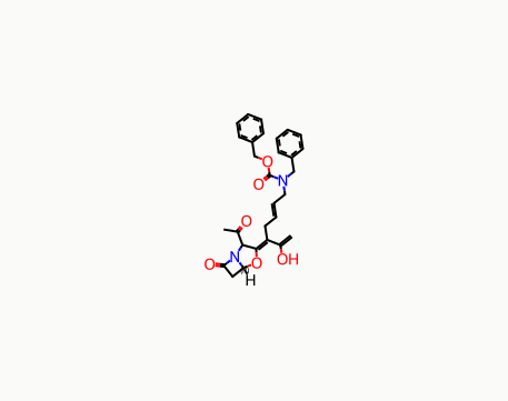 C=C(O)C(CC=CCN(Cc1ccccc1)C(=O)OCc1ccccc1)=C1O[C@@H]2CC(=O)N2C1C(C)=O